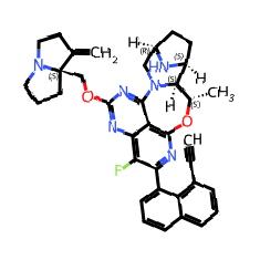 C#Cc1cccc2cccc(-c3nc4c5c(nc(OC[C@@]67CCCN6CCC7=C)nc5c3F)N3C[C@H]5CC[C@H](N5)[C@H]3[C@H](C)O4)c12